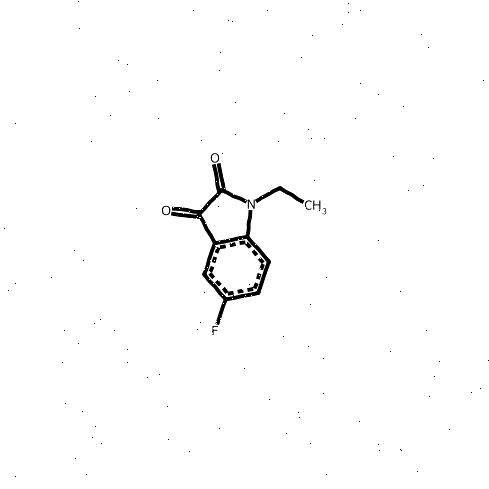 CCN1C(=O)C(=O)c2cc(F)ccc21